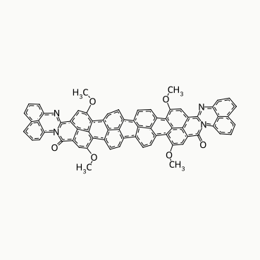 COc1cc2c(=O)n3c4cccc5cccc(nc3c3cc(OC)c6c7ccc8c9ccc%10c%11c(OC)cc%12c%13c(cc(OC)c(c%14ccc(c%15ccc(c1c6c23)c7c%158)c9c%14%10)c%11%13)c(=O)n1c2cccc3cccc(nc%121)c32)c54